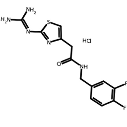 Cl.NC(N)=Nc1nc(CC(=O)NCc2ccc(F)c(F)c2)cs1